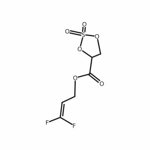 O=C(OCC=C(F)F)C1COS(=O)(=O)O1